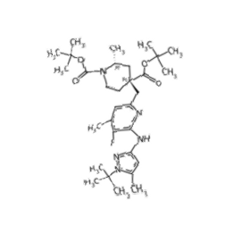 Cc1cc(C[C@@]2(C(=O)OC(C)(C)C)CCN(C(=O)OC(C)(C)C)[C@H](C)C2)nc(Nc2cc(C)n(C(C)(C)C)n2)c1F